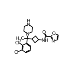 CC(c1cccc(Cl)c1Cl)(C1CC(NC(=O)c2ncco2)C1)N1CCNCC1